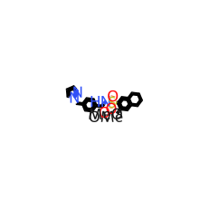 COc1cc(Cn2cccn2)ccc1C(=O)NS(=O)(=O)c1cc2c(cc1OC)CCCC2